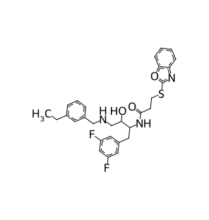 CCc1cccc(CNCC(O)C(Cc2cc(F)cc(F)c2)NC(=O)CCSc2nc3ccccc3o2)c1